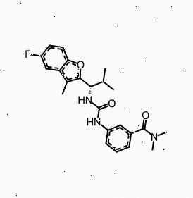 Cc1c([C@@H](NC(=O)Nc2cccc(C(=O)N(C)C)c2)C(C)C)oc2ccc(F)cc12